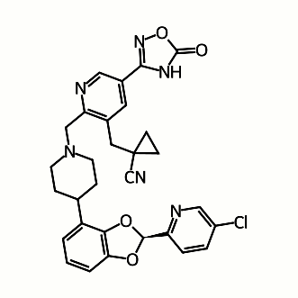 N#CC1(Cc2cc(-c3noc(=O)[nH]3)cnc2CN2CCC(c3cccc4c3O[C@@H](c3ccc(Cl)cn3)O4)CC2)CC1